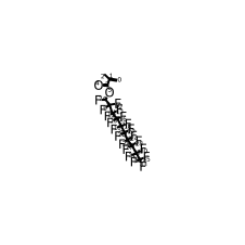 C=C(C)C(=O)OC(F)C(F)(F)C(F)(F)C(F)(F)C(F)(F)C(F)(F)C(F)(F)C(F)(F)C(F)(F)C(F)(F)F